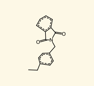 CCc1ccc(CN2C(=O)c3ccccc3C2=O)cc1